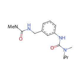 CNC(=O)NCc1cccc(NC(=O)N(C)C(C)C)c1